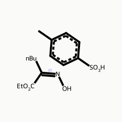 CCCC/C(=N/O)C(=O)OCC.Cc1ccc(S(=O)(=O)O)cc1